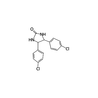 O=C1NC(c2ccc(Cl)cc2)C(c2ccc(Cl)cc2)N1